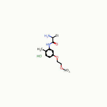 CCC(N)C(=O)Nc1cc(OCCO[N+](=O)[O-])ccc1C.Cl